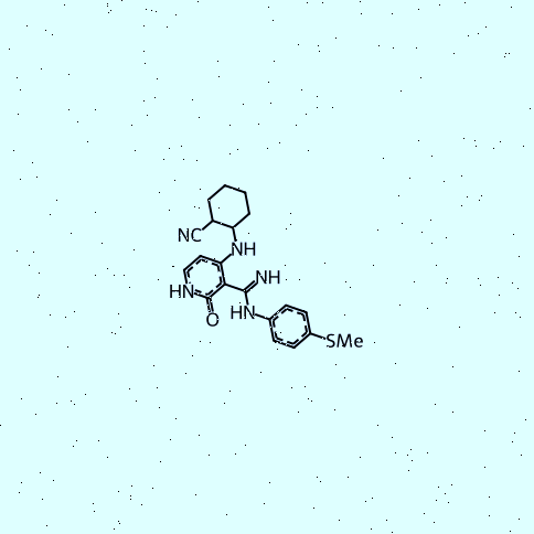 CSc1ccc(NC(=N)c2c(NC3CCCCC3C#N)cc[nH]c2=O)cc1